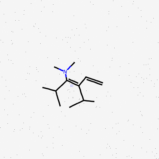 C=C/C(=C(/C(C)C)N(C)C)C(C)C